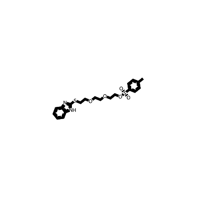 Cc1ccc(S(=O)(=O)OCCOCCOCCSc2nc3ccccc3[nH]2)cc1